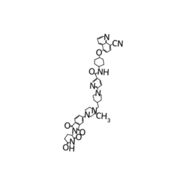 C[C@H]1CN(c2ccc3c(c2)C(=O)N(C2CCC(=O)NC2=O)C3=O)CCN1CC1CCN(c2ccc(C(=O)NC3CCC(Oc4ccc(C#N)c5ncccc45)CC3)cn2)CC1